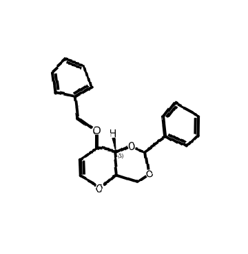 C1=CC(OCc2ccccc2)[C@@H]2OC(c3ccccc3)OCC2O1